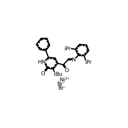 CC(C)c1cccc(C(C)C)c1N=CC(=O)c1cc(-c2ccccc2)[nH]c(=O)c1C(C)(C)C.[Br-].[Br-].[Ni+2]